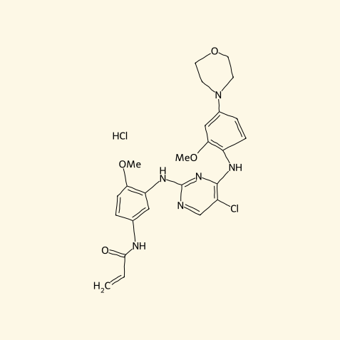 C=CC(=O)Nc1ccc(OC)c(Nc2ncc(Cl)c(Nc3ccc(N4CCOCC4)cc3OC)n2)c1.Cl